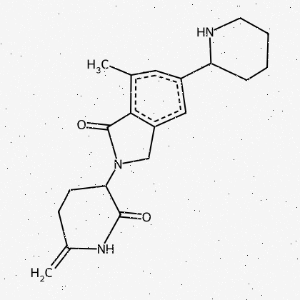 C=C1CCC(N2Cc3cc(C4CCCCN4)cc(C)c3C2=O)C(=O)N1